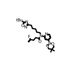 C=C(F)CCC(=O)N(CCCCCc1noc(C(C)(C)C)n1)c1cc(B2OCC(C)(C)CO2)ccn1